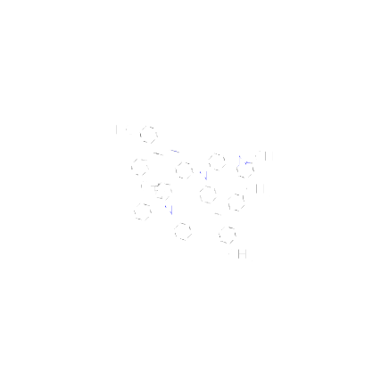 Cc1ccc(C(=Cc2ccc(N(c3cc(/C=C\C=C(c4cccc(C)c4)c4cccc(C)c4)cc(-c4cccc(N(Cc5ccccc5)Cc5ccccc5)c4)c3)c3cc4c(c(-c5cccc(C)n5)c3)CCCC4)cc2)c2ccc(C)cc2)cc1